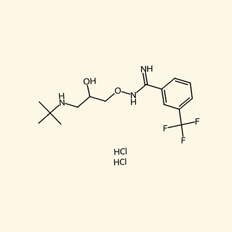 CC(C)(C)NCC(O)CONC(=N)c1cccc(C(F)(F)F)c1.Cl.Cl